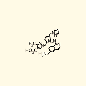 NCc1ccc2c(N)nccc2c1.O=C(O)c1cn(Cc2ccc(Cn3cncn3)cc2)nc1C(F)(F)F